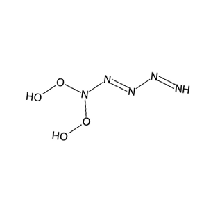 N=N/N=N/N(OO)OO